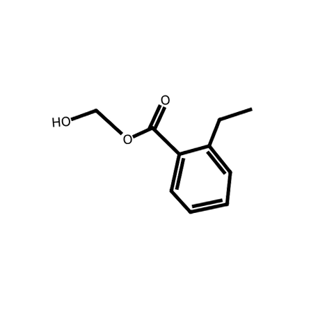 CCc1ccccc1C(=O)OCO